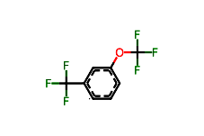 FC(F)(F)Oc1cc[c]c(C(F)(F)F)c1